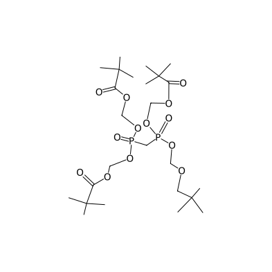 CC(C)(C)COCOP(=O)(CP(=O)(OCOC(=O)C(C)(C)C)OCOC(=O)C(C)(C)C)OCOC(=O)C(C)(C)C